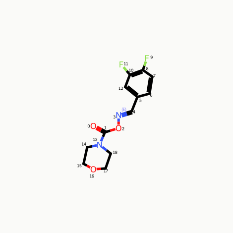 O=C(O/N=C/c1ccc(F)c(F)c1)N1CCOCC1